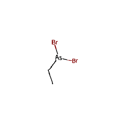 CC[As](Br)Br